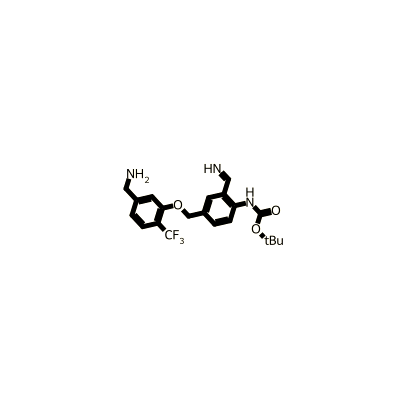 CC(C)(C)OC(=O)Nc1ccc(COc2cc(CN)ccc2C(F)(F)F)cc1C=N